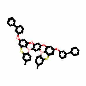 Cc1ccc2c(c1)Sc1cc(Oc3cccc(-c4ccccc4)c3)cc3c1B2c1cc2c(cc1O3)Oc1cc(Oc3cccc(-c4ccccc4)c3)cc3c1B2c1ccc(C)cc1S3